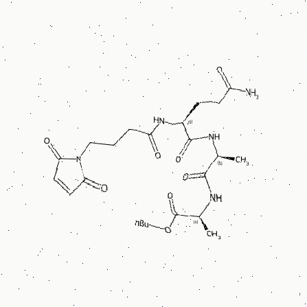 CCCCOC(=O)[C@H](C)NC(=O)[C@H](C)NC(=O)[C@H](CCC(N)=O)NC(=O)CCCN1C(=O)C=CC1=O